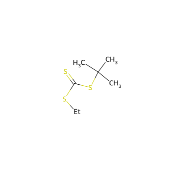 CCSC(=S)SC(C)(C)C